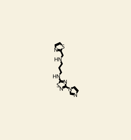 c1cn(-c2nsc(NCCCNCc3nccs3)n2)cn1